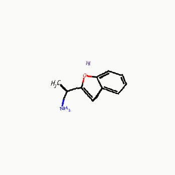 CC(N)c1cc2ccccc2o1.I